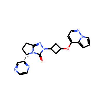 O=c1n(C2CC(Oc3ccnn4cccc34)C2)nc2n1[C@H](c1cnccn1)CC2